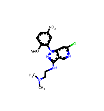 COc1ccc([N+](=O)[O-])cc1-n1nc(NCCN(C)C)c2cnc(Cl)cc21